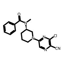 CN(C(=O)c1ccccc1)[C@@H]1CCCN(c2cnc(C#N)c(Cl)n2)C1